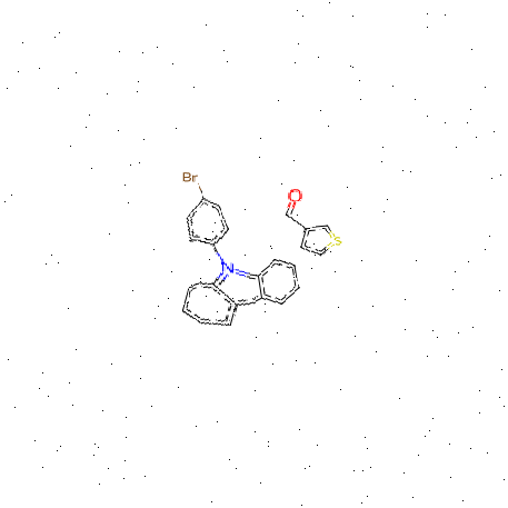 Brc1ccc(-n2c3ccccc3c3ccccc32)cc1.O=Cc1ccsc1